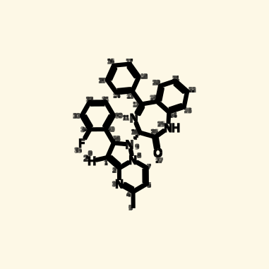 [2H]C1=C2N=C(C)C=CN2N([C@@H]2N=C(c3ccccc3)c3ccccc3NC2=O)C1c1ccccc1F